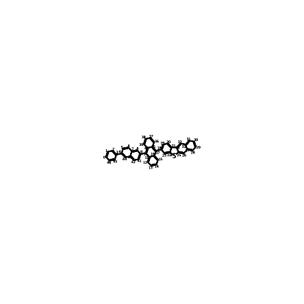 c1ccc(-c2ccc3cc(-c4c5ccccc5c(-c5ccc6c(c5)sc5cc7ccccc7cc56)c5ccccc45)ccc3c2)cc1